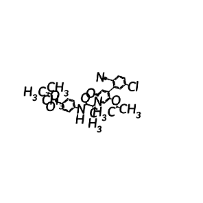 CC(C)Oc1cn(C(C)C(=O)Nc2ccc(C(=O)OC(C)(C)C)cc2)c(=O)cc1-c1cc(Cl)ccc1C#N